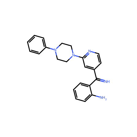 N=C(c1ccnc(N2CCN(c3ccccc3)CC2)c1)c1ccccc1N